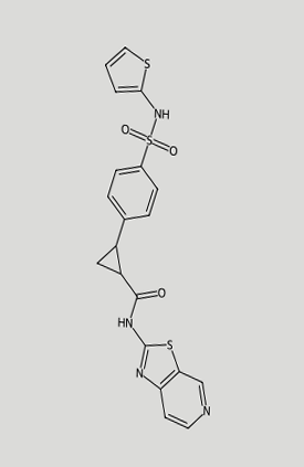 O=C(Nc1nc2ccncc2s1)C1CC1c1ccc(S(=O)(=O)Nc2cccs2)cc1